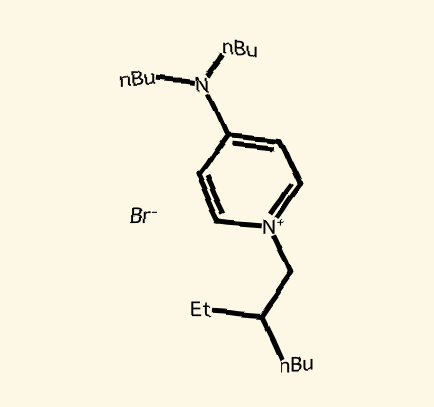 CCCCC(CC)C[n+]1ccc(N(CCCC)CCCC)cc1.[Br-]